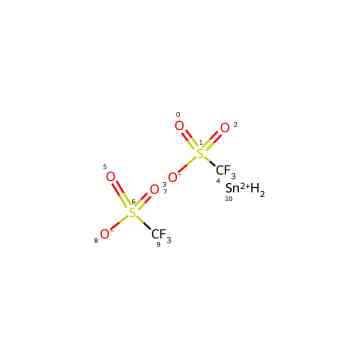 O=S(=O)([O-])C(F)(F)F.O=S(=O)([O-])C(F)(F)F.[SnH2+2]